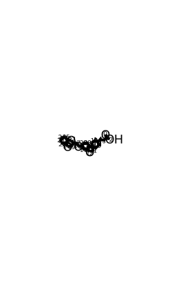 O=C(O)CCN1CCC2(CC1)COc1cc(OCC3COc4ccccc4O3)ccc12